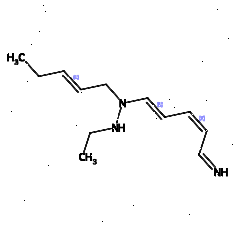 CC/C=C/CN(/C=C/C=C\C=N)NCC